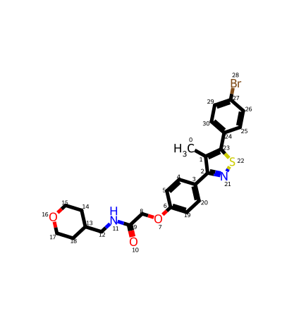 Cc1c(-c2ccc(OCC(=O)NCC3CCOCC3)cc2)nsc1-c1ccc(Br)cc1